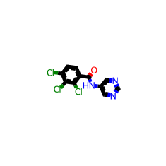 O=C(Nc1cncnc1)c1ccc(Cl)c(Cl)c1Cl